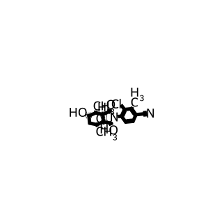 Cc1c(C#N)ccc(N2C(=O)[C@@H]3[C@H](C2=O)C2(C)C[C@H](O)C3(C)O2)c1Cl